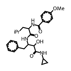 COc1ccc(C(=O)NC(CC(C)C)C(=O)NC(Cc2ccccc2)C(O)C(=O)NC2CC2)cc1